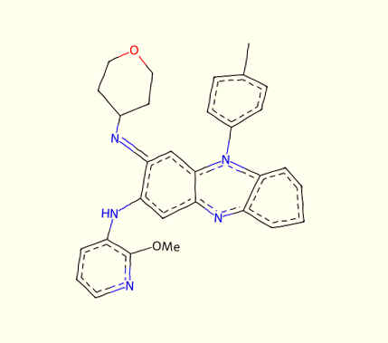 COc1ncccc1Nc1cc2nc3ccccc3n(-c3ccc(C)cc3)c-2c/c1=N\C1CCOCC1